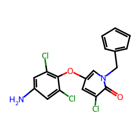 Nc1cc(Cl)c(Oc2cc(Cl)c(=O)n(Cc3ccccc3)c2)c(Cl)c1